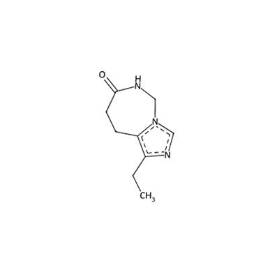 CCc1ncn2c1CCC(=O)NC2